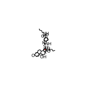 CCCCNS(=O)(=O)c1ccc2[nH]c(SCC(=O)[C@@]34O[C@H](CCC)O[C@@H]3CC3C5CCC6=CC(=O)C=CC6(C)C5[C@@H](O)CC34C)nc2c1